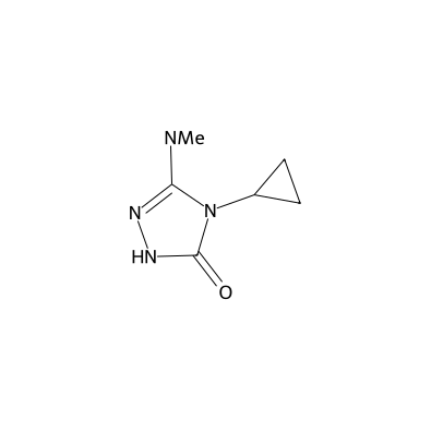 CNc1n[nH]c(=O)n1C1CC1